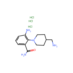 Cl.Cl.Cl.NCC1CCN(c2c(N)cccc2C(N)=O)CC1